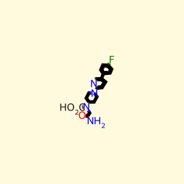 NC(=O)CN(C(=O)O)C1CCN(c2ccc(-c3ccc(F)cc3)cn2)CC1